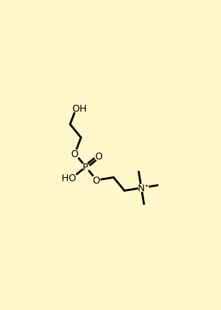 C[N+](C)(C)CCOP(=O)(O)OCCO